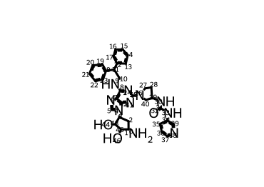 NC1CC(n2cnc3c(NCC(c4ccccc4)c4ccccc4)nc(N4CCC(NC(=O)Nc5cccnc5)C4)nc32)C(O)C1O